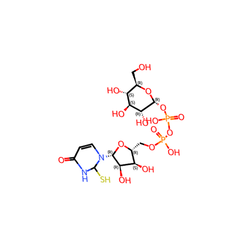 O=C1C=CN([C@@H]2O[C@H](COP(=O)(O)OP(=O)(O)O[C@H]3O[C@H](CO)[C@@H](O)[C@H](O)[C@H]3O)[C@@H](O)[C@H]2O)C(S)N1